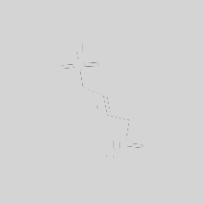 O=[SH](=O)C/C=C/CS(=O)(=O)O